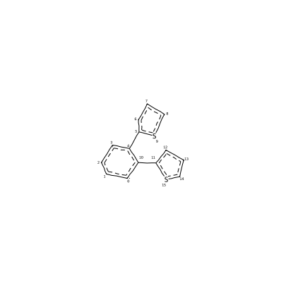 [c]1cc[c]c(-c2cccs2)c1-c1cccs1